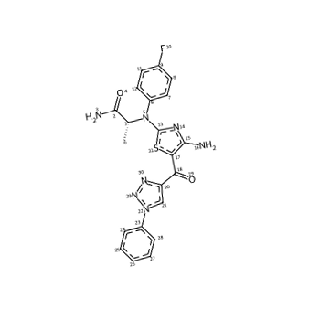 C[C@H](C(N)=O)N(c1ccc(F)cc1)c1nc(N)c(C(=O)c2cn(-c3ccccc3)nn2)s1